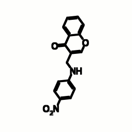 O=c1c(CNc2ccc([N+](=O)[O-])cc2)coc2ccccc12